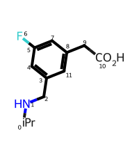 CC(C)NCc1cc(F)cc(CC(=O)O)c1